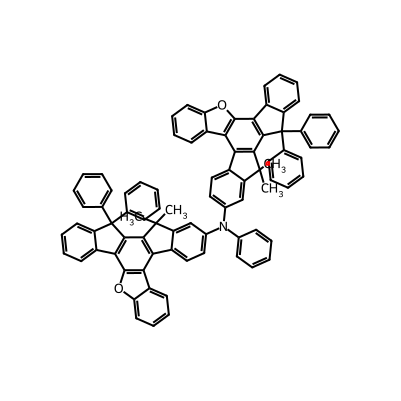 CC1(C)c2cc(N(c3ccccc3)c3ccc4c(c3)C(C)(C)c3c5c(c6oc7ccccc7c6c3-4)-c3ccccc3C5(c3ccccc3)c3ccccc3)ccc2-c2c1c1c(c3oc4ccccc4c23)-c2ccccc2C1(c1ccccc1)c1ccccc1